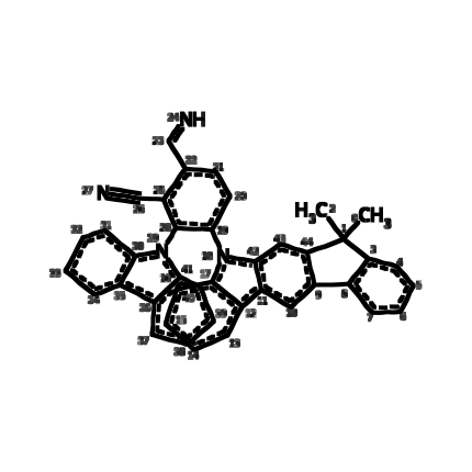 CC1(C)c2ccccc2-c2cc3c4ccccc4n(-c4ccc(C=N)c(C#N)c4-n4c5ccccc5c5ccccc54)c3cc21